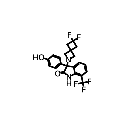 O=C1Nc2c(C(F)(F)F)cccc2C1(c1ccc(O)cc1)N1CC2(C1)CC(F)(F)C2